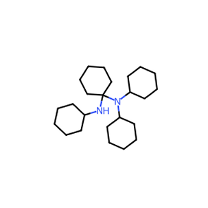 C1CCC(NC2(N(C3CCCCC3)C3CCCCC3)CCCCC2)CC1